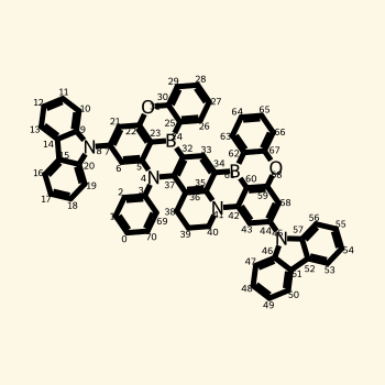 c1ccc(N2c3cc(-n4c5ccccc5c5ccccc54)cc4c3B(c3ccccc3O4)c3cc4c5c(c32)CCCN5c2cc(-n3c5ccccc5c5ccccc53)cc3c2B4c2ccccc2O3)cc1